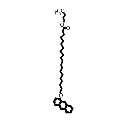 CCCCOC(=O)CCCCCCCCCCCCCCCCCCCOc1cccc2cc3ccccc3cc12